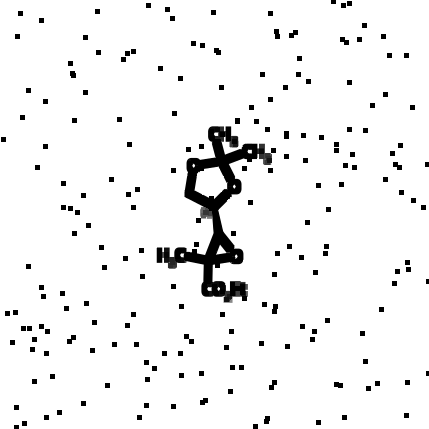 CCOC(=O)C1(C)OC1[C@H]1COC(C)(C)O1